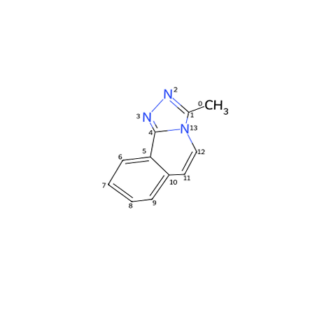 Cc1nnc2c3ccccc3ccn12